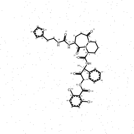 C[C@@](NC(=O)[C@@H]1CCCN2C(=O)CCC(NC(=O)NCCc3cccs3)C(=O)N12)(C(=O)COC(=O)c1c(Cl)cccc1Cl)c1ccccc1